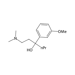 CCCC(O)(CCN(C)C)c1cccc(OC)c1